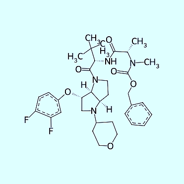 C[C@@H](C(=O)N[C@H](C(=O)N1CC[C@@H]2[C@H]1[C@@H](Oc1ccc(F)c(F)c1)CN2C1CCOCC1)C(C)(C)C)N(C)C(=O)OCc1ccccc1